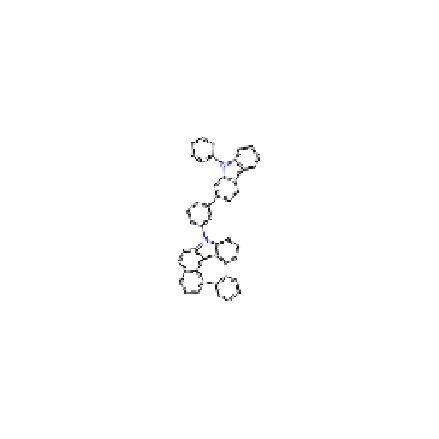 c1ccc(-n2c3ccccc3c3ccc(-c4cccc(-n5c6cccc7c6c6c8c(cccc8ccc65)-c5ccccc5-7)c4)cc32)cc1